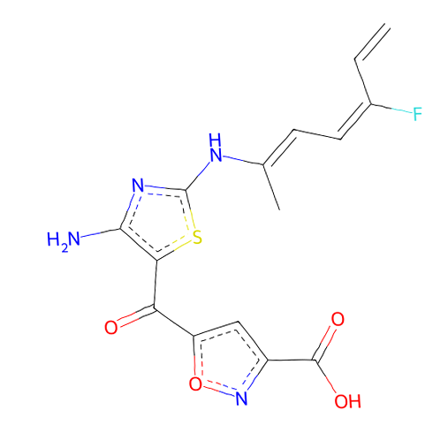 C=C/C(F)=C\C=C(/C)Nc1nc(N)c(C(=O)c2cc(C(=O)O)no2)s1